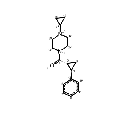 O=C([C@@H]1C[C@H]1c1ccccc1)N1CCN(C2CC2)CC1